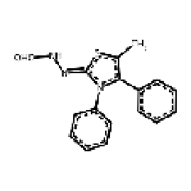 Cc1sc(=NNC=O)n(-c2ccccc2)c1-c1ccccc1